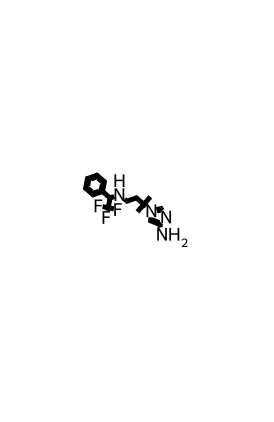 CC(C)(CCNC(c1ccccc1)C(F)(F)F)n1cnc(N)c1